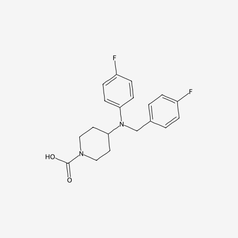 O=C(O)N1CCC(N(Cc2ccc(F)cc2)c2ccc(F)cc2)CC1